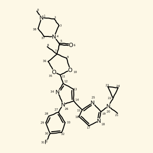 CN1CCN(C(=O)C2(C)COC(c3cc(-c4ccnc(N(C)C5CC5)n4)n(-c4ccc(F)cc4)n3)OC2)CC1